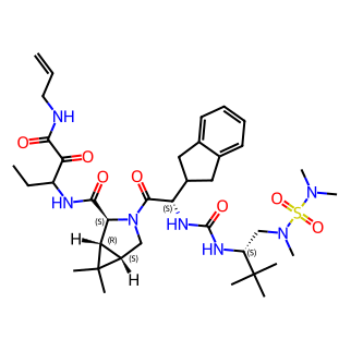 C=CCNC(=O)C(=O)C(CC)NC(=O)[C@@H]1[C@@H]2[C@H](CN1C(=O)[C@@H](NC(=O)N[C@H](CN(C)S(=O)(=O)N(C)C)C(C)(C)C)C1Cc3ccccc3C1)C2(C)C